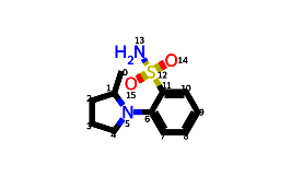 CC1CCCN1c1ccccc1S(N)(=O)=O